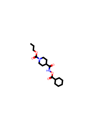 CCCOC(=O)N1CCC(C(=O)NOC(=O)C2CCCCC2)CC1